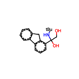 CC(C)(C)NC(O)(CO)c1cccc2c1Cc1ccccc1-2